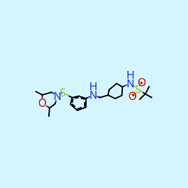 CC1CN(Sc2cccc(NCC3CCC(NS(=O)(=O)C(C)(C)C)CC3)c2)CC(C)O1